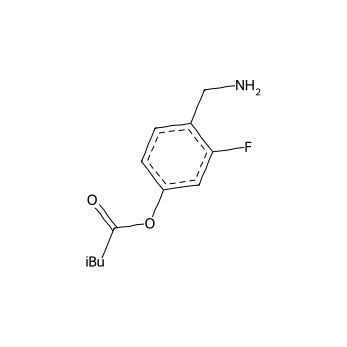 CCC(C)C(=O)Oc1ccc(CN)c(F)c1